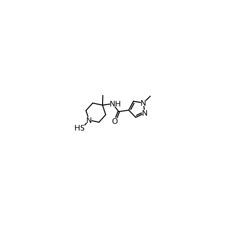 Cn1cc(C(=O)NC2(C)CCN(S)CC2)cn1